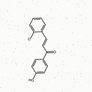 O=C(C=Cc1ccccc1Cl)c1ccc(O)cc1